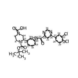 CC(C)(C)OC(=O)N1CCN(C(=O)O)CC1c1cccc(NC(=O)c2cc(-c3ccc(Cl)c(Cl)c3)ncn2)c1